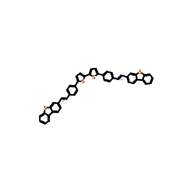 C(=C\c1ccc2c(c1)sc1ccccc12)/c1ccc(-c2ccc(-c3ccc(-c4ccc(/C=C/c5ccc6c(c5)sc5ccccc56)cc4)s3)s2)cc1